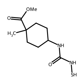 COC(=O)C1(C)CCC(NC(=O)NS)CC1